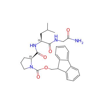 CC(C)C[C@H](NC(=O)[C@@H]1CCCN1C(=O)OCC1c2ccccc2-c2ccccc21)C(=O)NCC(N)=O